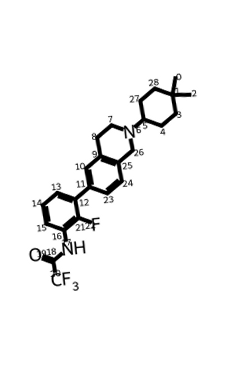 CC1(C)CCC(N2CCc3cc(-c4cccc(NC(=O)C(F)(F)F)c4F)ccc3C2)CC1